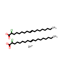 CCCCCCCCC=CCCCCCCC(Cl)C(=O)[O-].CCCCCCCCC=CCCCCCCC(Cl)C(=O)[O-].[Zn+2]